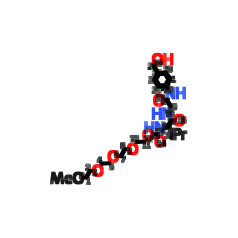 COCCOCCOCCOCCOC(=O)N[C@H](C(=O)NCC(=O)Nc1ccc(CO)cc1)C(C)C